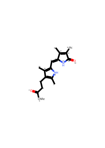 COC(=O)CCc1c(C)[nH]c(/C=C2\NC(=O)C(C(C)=O)=C2C)c1C